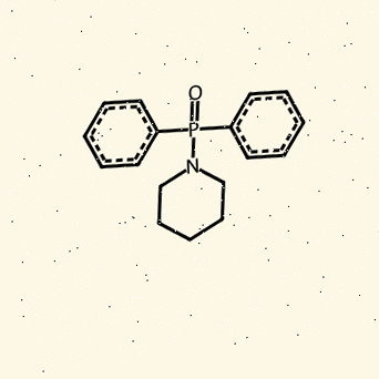 O=P(c1ccccc1)(c1ccccc1)N1CCCCC1